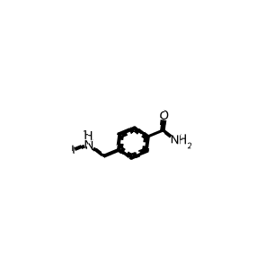 NC(=O)c1ccc(CNI)cc1